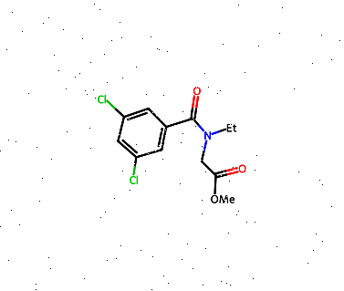 CCN(CC(=O)OC)C(=O)c1cc(Cl)cc(Cl)c1